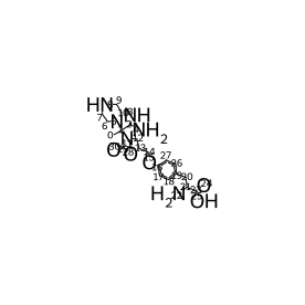 CC(C(=N)N)(N1CCNCC1)N1CC(COc2ccc(CC(N)C(=O)O)cc2)OC1=O